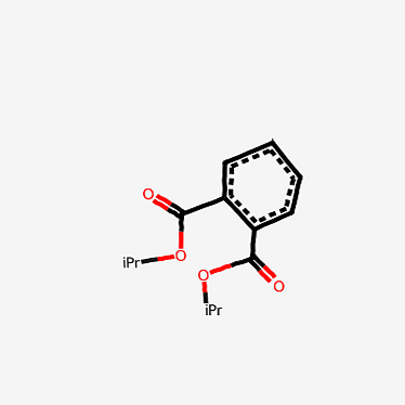 CC(C)OC(=O)c1c[c]ccc1C(=O)OC(C)C